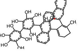 CC1=C(c2cc3ccccc3cc2C)C(c2c3ccccc3c(-c3c(O)c(O)c(O)c(-c4c(O)c(O)c(O)c(O)c4O)c3O)c3ccccc23)=CCC1